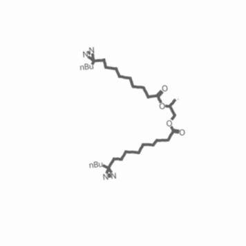 [CH2]C(COC(=O)CCCCCCCCC1(CCCC)N=N1)OC(=O)CCCCCCCCC1(CCCC)N=N1